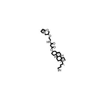 COCC(CN1CCCC1)OCCNC(=O)CC(=O)O[C@H]1CC[C@@]2(C)C(=CC[C@H]3[C@@H]4CC[C@H]([C@H](C)CCCC(C)C)[C@@]4(C)CC[C@@H]32)C1